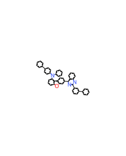 c1ccc(-c2ccc(N(c3ccccc3)c3cccc4oc5cc(-c6nc(-c7cccc(-c8ccccc8)c7)nc7ccccc67)ccc5c34)cc2)cc1